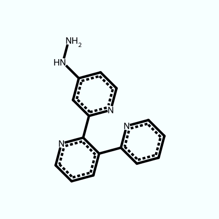 NNc1ccnc(-c2ncccc2-c2ccccn2)c1